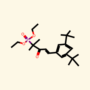 CCOP(=O)(OCC)C(C)(C)C(=O)C=Cc1cc(C(C)(C)C)cc(C(C)(C)C)c1